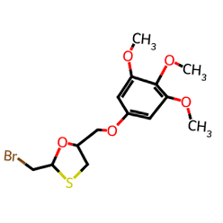 COc1cc(OCC2CSC(CBr)O2)cc(OC)c1OC